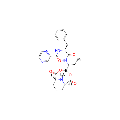 CC(C)C[C@H](NC(=O)[C@H](Cc1ccccc1)NC(=O)c1cnccn1)B1OC(=O)[C@H]2CCC[C@H](C(=O)O1)N2C